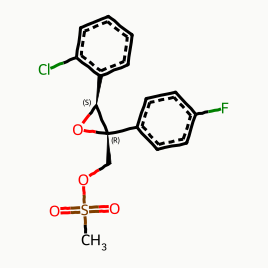 CS(=O)(=O)OC[C@@]1(c2ccc(F)cc2)O[C@H]1c1ccccc1Cl